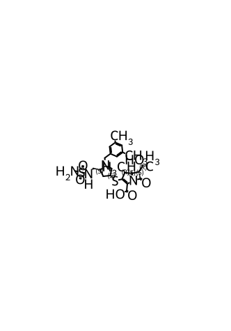 Cc1cc(C)cc(CN2C[C@@H](SC3=C(C(=O)O)N4C(=O)[C@H]([C@@H](C)O)[C@H]4[C@H]3C)C[C@H]2CNS(N)(=O)=O)c1